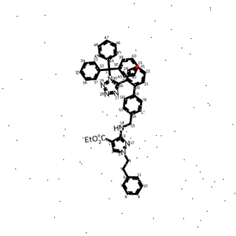 CCOC(=O)c1cn(CCc2ccccc2)nc1NCc1ccc(-c2ccccc2-c2nnnn2C(c2ccccc2)(c2ccccc2)c2ccccc2)cc1